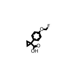 O=C(O)C1(c2ccc(OCF)cc2)CC1